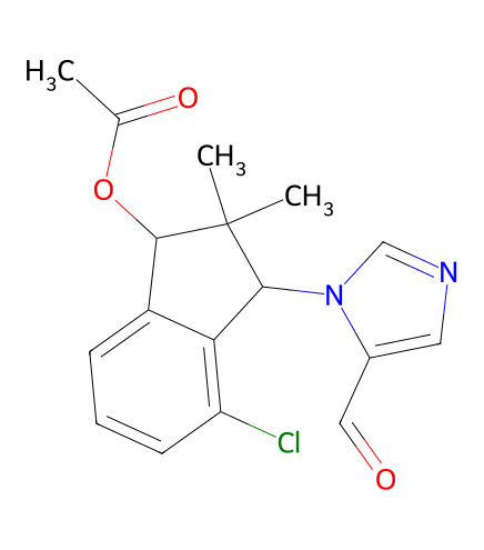 CC(=O)OC1c2cccc(Cl)c2C(n2cncc2C=O)C1(C)C